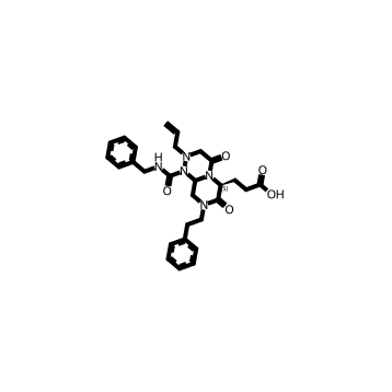 C=CCN1CC(=O)N2C(CN(CCc3ccccc3)C(=O)[C@@H]2CCC(=O)O)N1C(=O)NCc1ccccc1